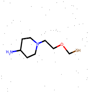 NC1CCN(CCOCS)CC1